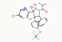 CN(C)C(=O)C1C(O)C2(O)c3ncc(Cl)cc3OC2(c2ccc(OC(F)(F)F)cc2)C1c1ccccc1